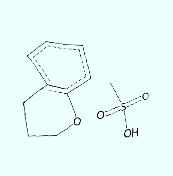 CS(=O)(=O)O.c1ccc2c(c1)CCCO2